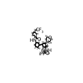 Cc1ccc(NC(=O)N2CC[C@@H](CC(F)(F)F)C2)cc1-c1cc(NS(=O)(=O)C(C)C)nc(N2CCOCC2)c1